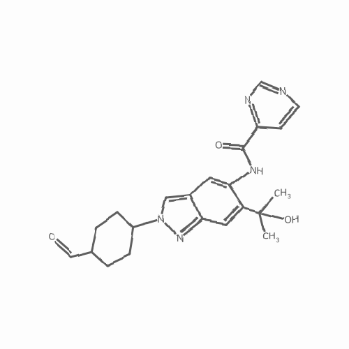 CC(C)(O)c1cc2nn(C3CCC(C=O)CC3)cc2cc1NC(=O)c1ccncn1